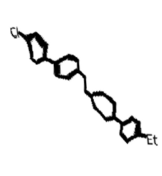 CCc1ccc(C2CCC(CCc3ccc(-c4ccc(Cl)cc4)cc3)CC2)cc1